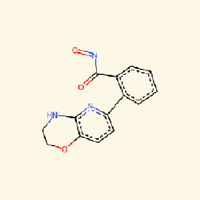 O=NC(=O)c1ccccc1-c1ccc2c(n1)NCCO2